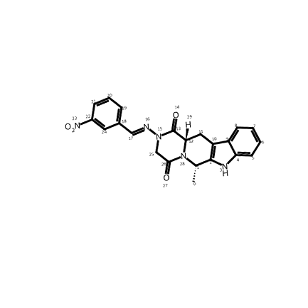 C[C@H]1c2[nH]c3ccccc3c2C[C@H]2C(=O)N(/N=C/c3cccc([N+](=O)[O-])c3)CC(=O)N21